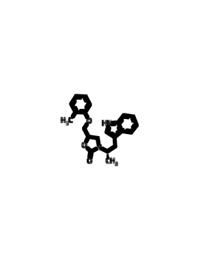 Cc1ccccc1OCC1CN([C@@H](C)Cc2c[nH]c3ccccc23)C(=O)O1